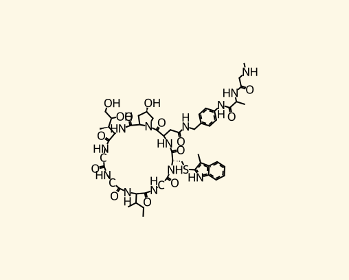 CCC(C)C1NC(=O)CNC(=O)CNC(=O)C([C@@H](C)C(O)CO)NC(=O)C2C[C@@H](O)CN2C(=O)C(CC(=O)NCc2ccc(NC(=O)C(C)NC(=O)CNC)cc2)NC(=O)[C@H](CSc2[nH]c3ccccc3c2C)NC(=O)CNC1=O